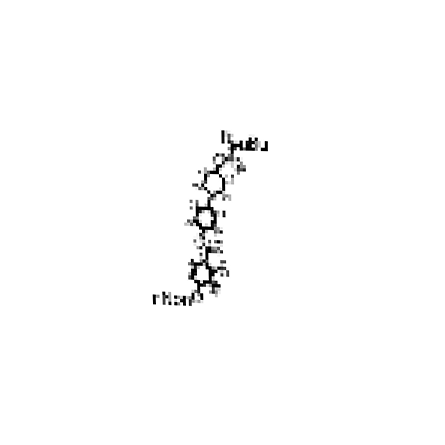 CCCCCCCCCOc1ccc(C(=O)Oc2ccc(C3CCC(OC(=O)C(F)CCCC)CC3)cc2)c(F)c1F